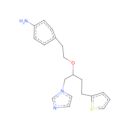 Nc1ccc(CCOC(CCc2cccs2)Cn2ccnc2)cc1